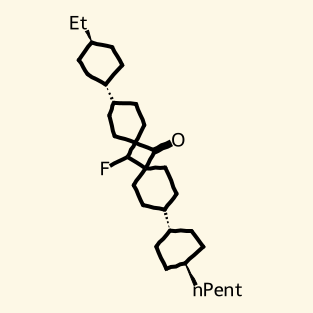 CCCCC[C@H]1CC[C@H](C2CCC3(CC2)C(=O)C2(CCC([C@H]4CC[C@H](CC)CC4)CC2)C3F)CC1